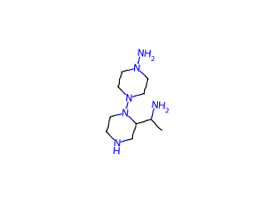 CC(N)C1CNCCN1N1CCN(N)CC1